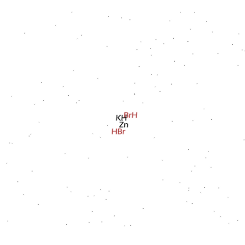 Br.Br.[KH].[Zn]